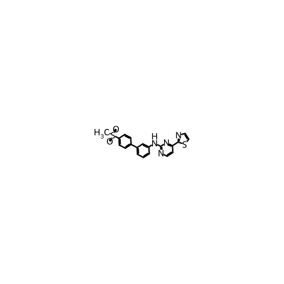 CS(=O)(=O)c1ccc(-c2cccc(Nc3nccc(-c4nccs4)n3)c2)cc1